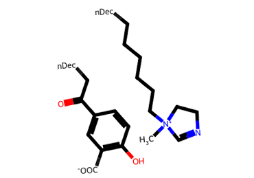 CCCCCCCCCCCC(=O)c1ccc(O)c(C(=O)[O-])c1.CCCCCCCCCCCCCCCC[N+]1(C)C=NCC1